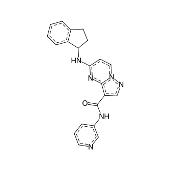 O=C(Nc1cccnc1)c1cnn2ccc(NC3CCc4ccccc43)nc12